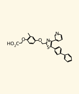 Cc1cc(OCc2nc(-c3cccnc3)c(-c3ccc(-c4ccccc4)cc3)s2)ccc1OCC(=O)O